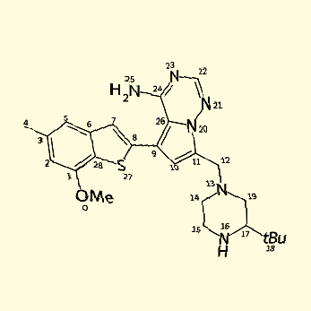 COc1cc(C)cc2cc(-c3cc(CN4CCNC(C(C)(C)C)C4)n4ncnc(N)c34)sc12